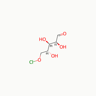 O=C[C@@H](O)[C@H](O)[C@H](O)COCl